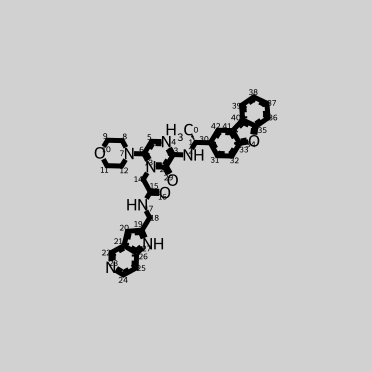 C[C@@H](Nc1ncc(N2CCOCC2)n(CC(=O)NCc2cc3cnccc3[nH]2)c1=O)c1ccc2oc3ccccc3c2c1